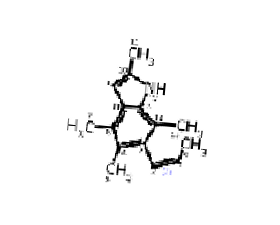 C/C=C\c1c(C)c(C)c2cc(C)[nH]c2c1C